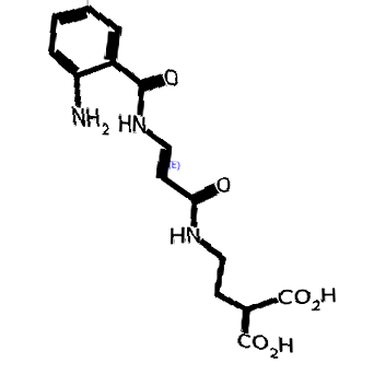 Nc1ccccc1C(=O)N/C=C/C(=O)NCCC(C(=O)O)C(=O)O